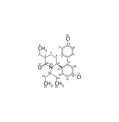 CCC1C[C@H](c2cccc(Cl)c2)[C@@H](c2ccc(Cl)cc2)N(C(CC)CC)C1=O